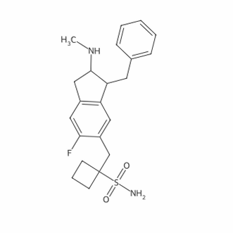 CNC1Cc2cc(F)c(CC3(S(N)(=O)=O)CCC3)cc2C1Cc1ccccc1